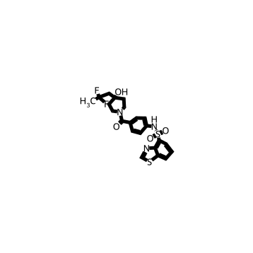 CC(F)(F)CC1(O)CCN(C(=O)c2ccc(NS(=O)(=O)c3cccc4scnc34)cc2)CC1